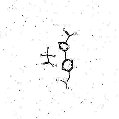 CN(C)Cc1ccc(-c2ccc(C(=O)C(F)(F)F)s2)cc1.O=C(O)C(F)(F)F